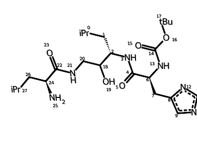 CC(C)C[C@H](NC(=O)[C@H](Cc1c[nH]cn1)NC(=O)OC(C)(C)C)C(O)CNC(=O)[C@@H](N)CC(C)C